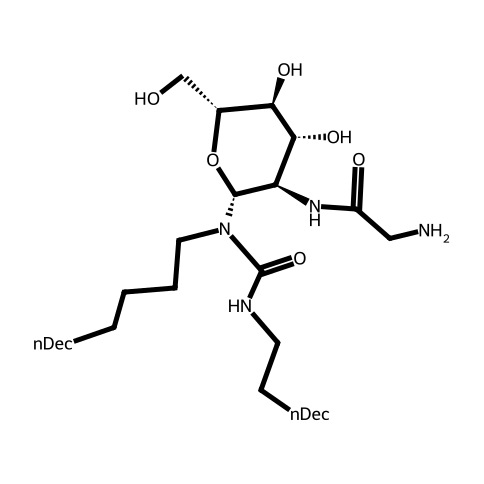 CCCCCCCCCCCCCCN(C(=O)NCCCCCCCCCCCC)[C@@H]1O[C@H](CO)[C@@H](O)[C@H](O)[C@H]1NC(=O)CN